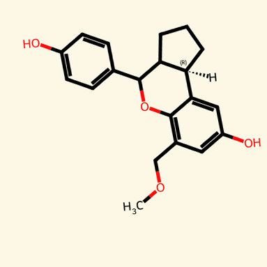 COCc1cc(O)cc2c1OC(c1ccc(O)cc1)C1CCC[C@@H]21